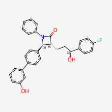 O=C1[C@H](CC[C@H](O)c2ccc(F)cc2)[C@@H](c2ccc(-c3cccc(O)c3)cc2)N1c1ccccc1